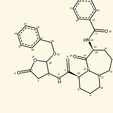 O=C1CC(NC(=O)[C@@H]2CCCN3CCC[C@H](NC(=O)c4ccccc4)C(=O)N23)C(OCc2ccccc2)O1